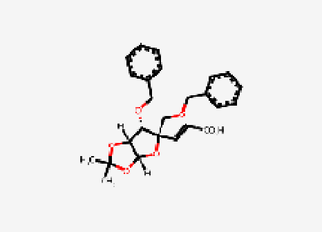 CC1(C)O[C@H]2O[C@](/C=C/C(=O)O)(COCc3ccccc3)[C@@H](OCc3ccccc3)[C@H]2O1